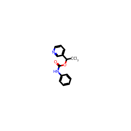 O=C(Nc1ccccc1)OC(c1cccnc1)C(Cl)(Cl)Cl